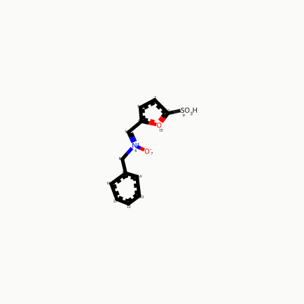 O=S(=O)(O)c1ccc(C=[N+]([O-])Cc2ccccc2)o1